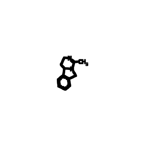 CC1=NCCC2c3ccccc3CN12